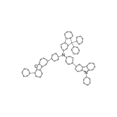 c1ccc(-c2cccc3c2oc2ccc(-c4ccc(N(c5ccc(-c6ccc7c(c6)c6ccccc6n7-c6ccccc6)cc5)c5ccc6c(c5)C(c5ccccc5)(c5ccccc5)c5ccccc5-6)cc4)cc23)cc1